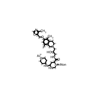 CCCCCCCCCN1CNC(NC2CCN(C(C)=O)CC2)CC1C(=O)NC[C@H](O)CN1CCc2c(C)c(OCc3ocnc3C)cc(F)c2C1